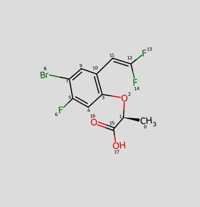 C[C@H](Oc1cc(F)c(Br)cc1C=C(F)F)C(=O)O